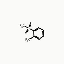 O=S(=O)(c1cccnc1C(F)(F)F)C(F)(F)F